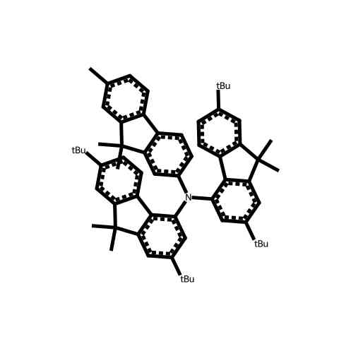 Cc1ccc2c(c1)C(C)(C)c1cc(N(c3cc(C(C)(C)C)cc4c3-c3ccc(C(C)(C)C)cc3C4(C)C)c3cc(C(C)(C)C)cc4c3-c3ccc(C(C)(C)C)cc3C4(C)C)ccc1-2